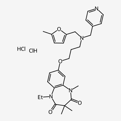 CCN1C(=O)C(C)(C)C(=O)N(C)c2cc(OCCCN(Cc3ccncc3)Cc3ccc(C)o3)ccc21.Cl.Cl